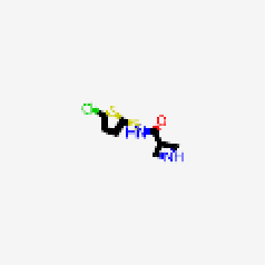 O=C(NSc1ccc(Cl)s1)C1CNC1